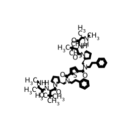 CN[C@@H](C)C(=O)N[C@H](C(=O)N1CCC[C@H]1CN(CCc1ccccc1)C(=O)c1ccc(C(=O)N(CCc2ccccc2)C[C@@H]2CCCN2C(=O)[C@@H](NC(=O)[C@H](C)NC)C(C)(C)C)s1)C(C)(C)C